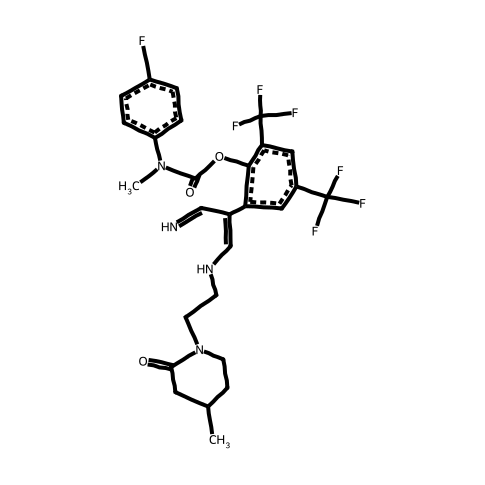 CC1CCN(CCN/C=C(\C=N)c2cc(C(F)(F)F)cc(C(F)(F)F)c2OC(=O)N(C)c2ccc(F)cc2)C(=O)C1